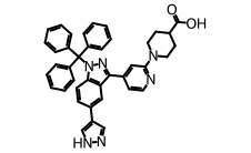 O=C(O)C1CCN(c2cc(-c3nn(C(c4ccccc4)(c4ccccc4)c4ccccc4)c4ccc(-c5cn[nH]c5)cc34)ccn2)CC1